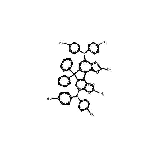 Cc1nc2c(N(c3ccc(C(C)(C)C)cc3)c3ccc(C(C)(C)C)cc3)cc3c(c2o1)-c1c(cc(N(c2ccc(C(C)(C)C)cc2)c2ccc(C(C)(C)C)cc2)c2nc(C)oc12)C3(c1ccccc1)c1ccccc1